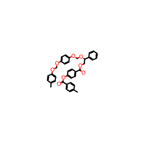 Cc1ccc(OCOc2ccc(OCOC(COC(=O)c3ccc(OC(=O)c4ccc(C)cc4)cc3)c3ccccc3)cc2)cc1